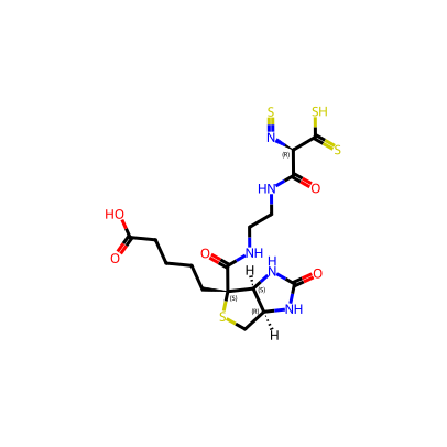 O=C(O)CCCC[C@]1(C(=O)NCCNC(=O)[C@@H](N=S)C(=S)S)SC[C@@H]2NC(=O)N[C@@H]21